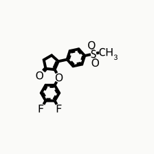 CS(=O)(=O)c1ccc(C2=C(Oc3ccc(F)c(F)c3)C(=O)CC2)cc1